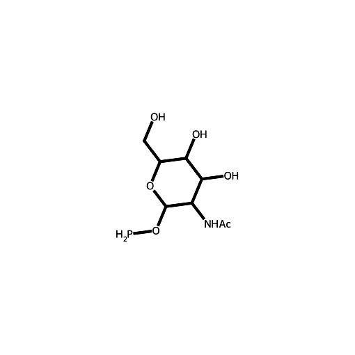 CC(=O)NC1C(OP)OC(CO)C(O)C1O